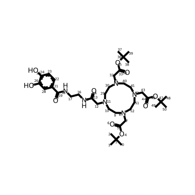 CC(C)(C)OC(=O)CN1CCN(CC(=O)NCCNC(=O)c2ccc(O)c(O)c2)CCN(CC(=O)OC(C)(C)C)CCN(CC(=O)OC(C)(C)C)CC1